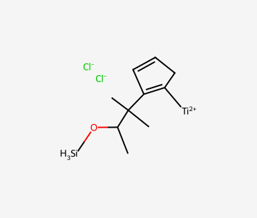 CC(O[SiH3])C(C)(C)C1=[C]([Ti+2])CC=C1.[Cl-].[Cl-]